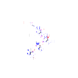 Cn1c(=O)c2[nH]cnc2n(C)c1=O.Cn1c(=O)c2[nH]cnc2n(C)c1=O.Cn1c(=O)c2[nH]cnc2n(C)c1=O.Cn1cnc2c1c(=O)[nH]c(=O)n2C.NCCN.O